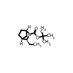 CC[C@H]1[C@@H]2CC[C@@H](C2)N1C(=O)OC(C)(C)C